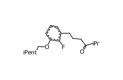 CCCC(C)COc1cccc(CCCC(=O)C(C)C)c1F